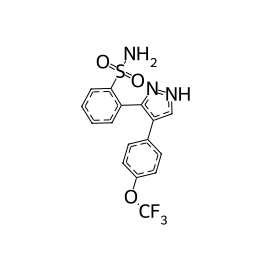 NS(=O)(=O)c1ccccc1-c1n[nH]cc1-c1ccc(OC(F)(F)F)cc1